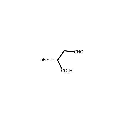 CCC[C@H](CC=O)C(=O)O